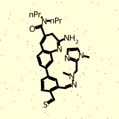 CCCN(CCC)C(=O)C1=Cc2ccc(-c3ccc(C=S)c(/C=N\N(C)Cc4nccn4C)c3)cc2N=C(N)C1